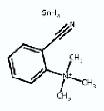 C[N+](C)(C)c1ccccc1C#N.[SnH4]